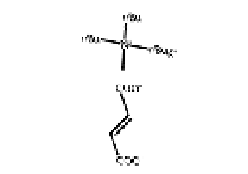 CCCC[N+](C)(CCCC)CCCC.O=C([O-])C=CC(=O)[O-].[K+]